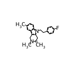 Cc1ccc2c(c1)c1c(n2CCc2ccc(F)cc2)C[C@H](C)N(C)C1